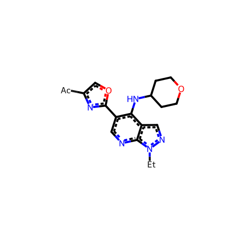 CCn1ncc2c(NC3CCOCC3)c(-c3nc(C(C)=O)co3)cnc21